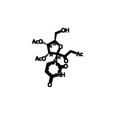 CC(=O)CC(=O)[C@@]1(n2ccc(=O)[nH]c2=O)O[C@H](CO)[C@@H](OC(C)=O)[C@H]1OC(C)=O